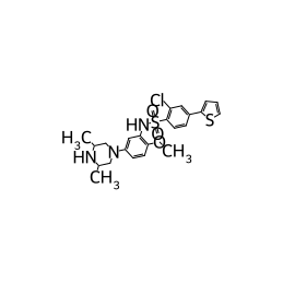 COc1ccc(N2CC(C)NC(C)C2)cc1NS(=O)(=O)c1ccc(-c2cccs2)cc1Cl